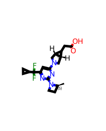 C[C@H]1CCN1c1nc(N2C[C@@H]3C(CC(=O)O)[C@@H]3C2)cc(C(F)(F)C2CC2)n1